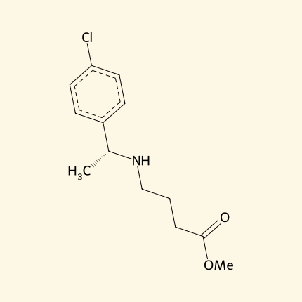 COC(=O)CCCN[C@H](C)c1ccc(Cl)cc1